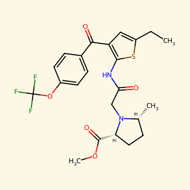 CCc1cc(C(=O)c2ccc(OC(F)(F)F)cc2)c(NC(=O)CN2[C@H](C)CC[C@@H]2C(=O)OC)s1